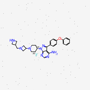 Nc1ncnc2c1c(-c1ccc(Oc3ccccc3)cc1)nn2[C@@H]1CCN(C2CN(CC3CNC3)C2)C[C@H]1F